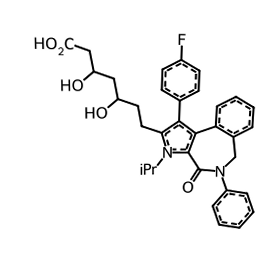 CC(C)n1c(CCC(O)CC(O)CC(=O)O)c(-c2ccc(F)cc2)c2c1C(=O)N(c1ccccc1)Cc1ccccc1-2